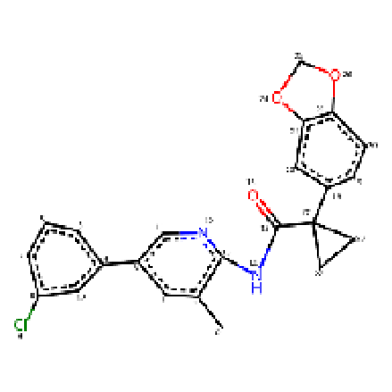 Cc1cc(-c2cccc(Cl)c2)cnc1NC(=O)C1(c2ccc3c(c2)OCO3)CC1